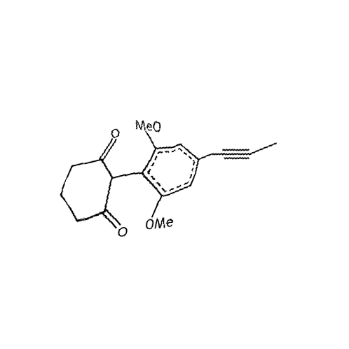 CC#Cc1cc(OC)c(C2C(=O)CCCC2=O)c(OC)c1